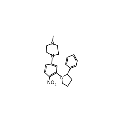 CN1CCN(c2ccc([N+](=O)[O-])c(N3CCC[C@@H]3c3ccccc3)c2)CC1